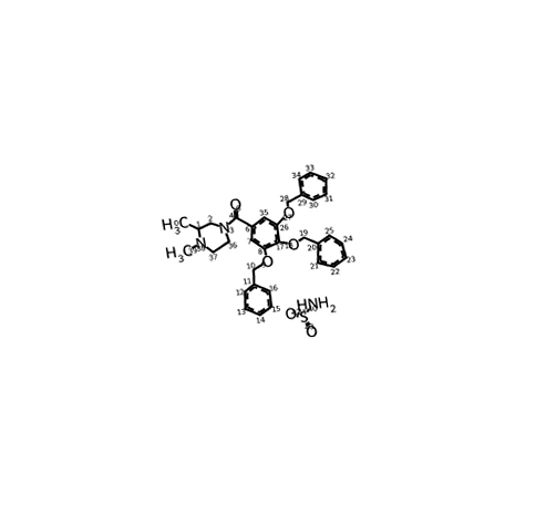 CC1CN(C(=O)c2cc(OCc3ccccc3)c(OCc3ccccc3)c(OCc3ccccc3)c2)CCN1C.N[SH](=O)=O